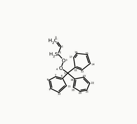 C=C[SiH2]OOC(c1ccccc1)(c1ccccc1)c1ccccc1